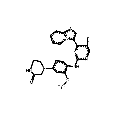 COc1cc(N2CCNC(=O)C2)ccc1Nc1ncc(F)c(-c2cnc3ccccn23)n1